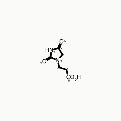 O=C(O)CCN1CC(=O)NC1=O